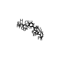 Cn1nc(C(F)(F)F)cc1C1(C(F)(F)F)CC(c2ccc(Cl)c(N(C=O)CC(=O)NC(F)(F)F)c2)=NO1